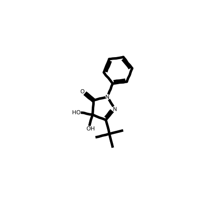 CC(C)(C)C1=NN(c2ccccc2)C(=O)C1(O)O